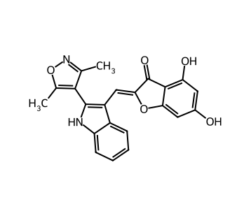 Cc1noc(C)c1-c1[nH]c2ccccc2c1/C=C1\Oc2cc(O)cc(O)c2C1=O